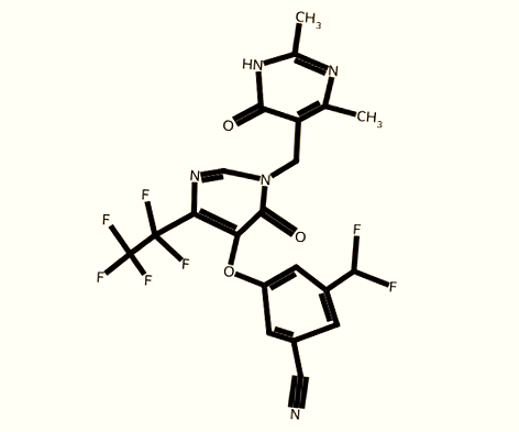 Cc1nc(C)c(Cn2cnc(C(F)(F)C(F)(F)F)c(Oc3cc(C#N)cc(C(F)F)c3)c2=O)c(=O)[nH]1